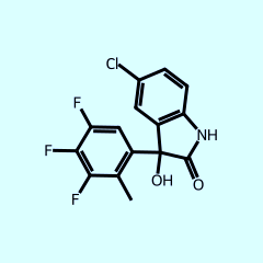 Cc1c(C2(O)C(=O)Nc3ccc(Cl)cc32)cc(F)c(F)c1F